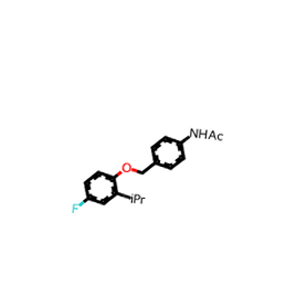 CC(=O)Nc1ccc(COc2ccc(F)cc2C(C)C)cc1